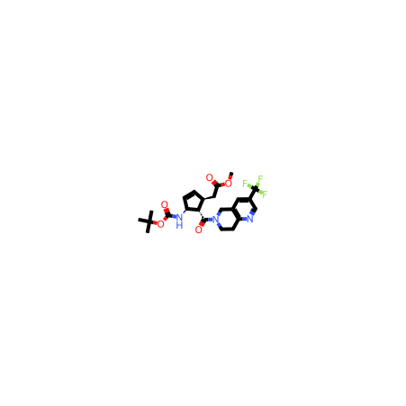 COC(=O)C[C@@H]1C=C[C@@H](NC(=O)OC(C)(C)C)[C@H]1C(=O)N1CCc2ncc(C(F)(F)F)cc2C1